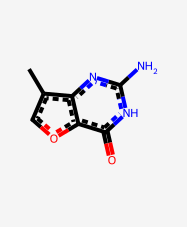 Cc1coc2c(=O)[nH]c(N)nc12